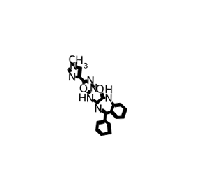 Cn1cnc(-c2nnc(NC3N=C(c4ccccc4)c4ccccc4NC3=O)o2)c1